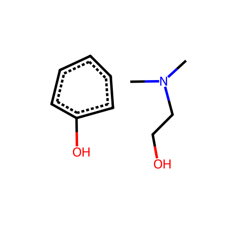 CN(C)CCO.Oc1ccccc1